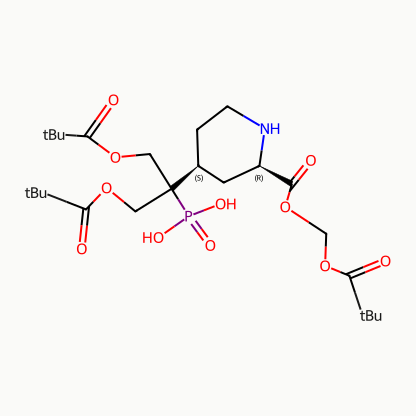 CC(C)(C)C(=O)OCOC(=O)[C@H]1C[C@@H](C(COC(=O)C(C)(C)C)(COC(=O)C(C)(C)C)P(=O)(O)O)CCN1